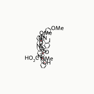 COc1ccc(CN(Cc2ccc(OC)cc2)S(=O)(=O)c2c(S(=O)(=O)[C@@H]3CN(C(=O)O)[C@@](CO)(Cc4ccccc4)C3)ccc(I)c2-c2nnn(Cc3ccc(OC)cc3)n2)cc1